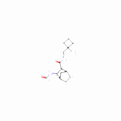 CC1(CNC(=O)C2C3CCC(C3)C2NC=O)CCC1